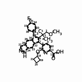 COCC(C)(C)c1c(-c2ccc(C(=O)O)nc2OC2CCC2)c2cc3[nH]ncc3cc2n1-c1ccc(F)cc1